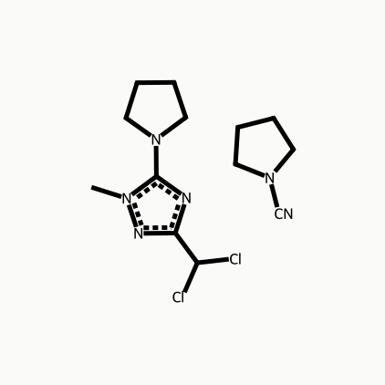 Cn1nc(C(Cl)Cl)nc1N1CCCC1.N#CN1CCCC1